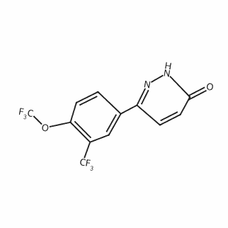 O=c1ccc(-c2ccc(OC(F)(F)F)c(C(F)(F)F)c2)n[nH]1